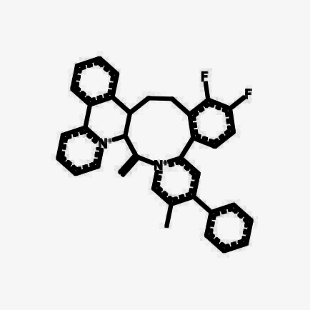 C=C1C2C(CCc3c(ccc(F)c3F)-c3cc(-c4ccccc4)c(C)c[n+]31)c1ccccc1-c1cccc[n+]12